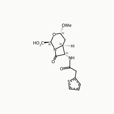 CO[C@@H]1C[C@H]2[C@H](NC(=O)Cc3cccs3)C(=O)N2[C@@H](C(=O)O)O1